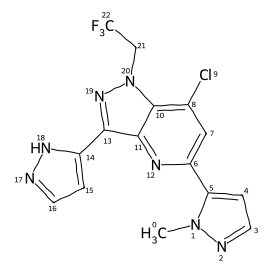 Cn1nccc1-c1cc(Cl)c2c(n1)c(-c1ccn[nH]1)nn2CC(F)(F)F